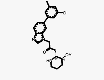 Cc1cc(Cl)cc(-c2ccc3ncn(CC(=O)C[C@H]4NCCC[C@@H]4O)c3c2)c1